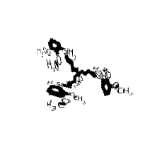 COc1cccc([SiH2]CCCCC(CCCC[SiH2]c2cccc(OC)c2OC)(CCCC[SiH2]c2cccc(OC)c2OC)O[SiH3])c1OC